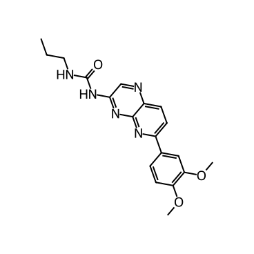 CCCNC(=O)Nc1cnc2ccc(-c3ccc(OC)c(OC)c3)nc2n1